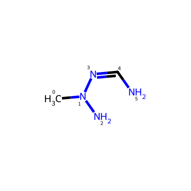 CN(N)/N=C\N